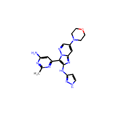 Cc1nc(N)cc(-c2c(Nc3cc[nH]n3)nc3cc(N4CCOCC4)cnn23)n1